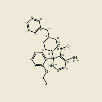 CCOc1ccccc1C1(N2CCN(Cc3ccccc3)CC2)NC=CC(N)=C1C(=O)O